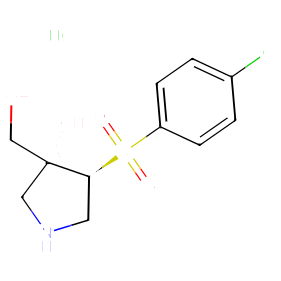 Cl.O=S(=O)(c1ccc(Cl)cc1)[C@H]1CNC[C@@]1(O)CO